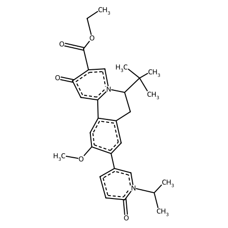 CCOC(=O)c1cn2c(cc1=O)-c1cc(OC)c(-c3ccc(=O)n(C(C)C)c3)cc1CC2C(C)(C)C